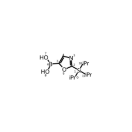 CC(C)[Si](c1ncc(B(O)O)o1)(C(C)C)C(C)C